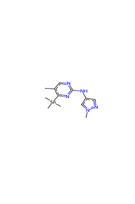 Cc1cnc(Nc2cnn(C)c2)n[c]1[Sn]([CH3])([CH3])[CH3]